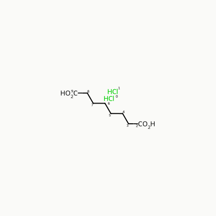 Cl.Cl.O=C(O)CCCCCCC(=O)O